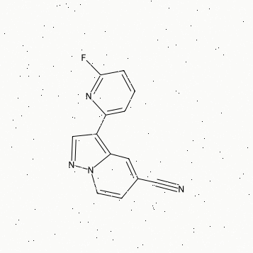 N#Cc1ccn2ncc(-c3cccc(F)n3)c2c1